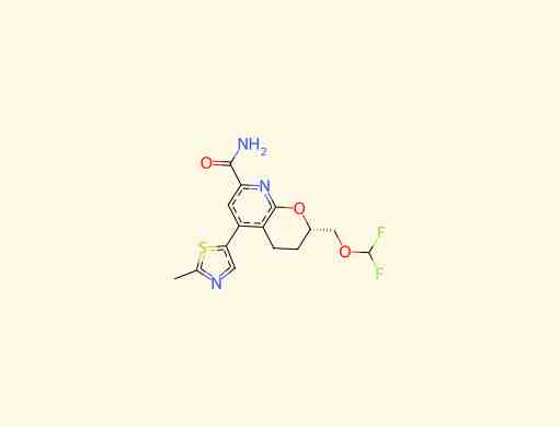 Cc1ncc(-c2cc(C(N)=O)nc3c2CC[C@@H](COC(F)F)O3)s1